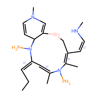 CC/C=C1\C=C(/C)N(P)/C(C)=C(/C=C\NC)CBC2=CN(C)C=CC2N1P